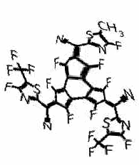 Cc1sc(/C(C#N)=C2\C(F)=c3c4c(c5c(c3=C2F)=C(F)/C(=C(/C#N)c2nc(F)c(C(F)(F)F)s2)C=5F)=C(F)/C(=C(/C#N)c2nc(F)c(C(F)(F)F)s2)C=4F)nc1F